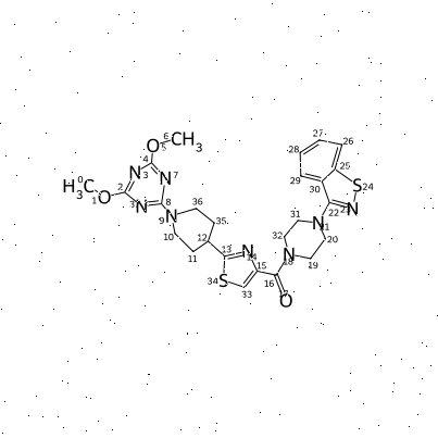 COc1nc(OC)nc(N2CCC(c3nc(C(=O)N4CCN(c5nsc6ccccc56)CC4)cs3)CC2)n1